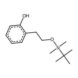 CC(C)(C)[Si](C)(C)OCCc1ccccc1O